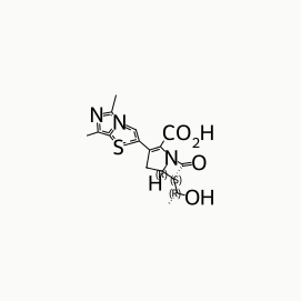 Cc1nc(C)n2cc(C3=C(C(=O)O)N4C(=O)[C@H]([C@@H](C)O)[C@H]4C3)sc12